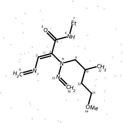 C=N/C=C(/C(=O)NCC)N(CC(C)CCOC)N=C